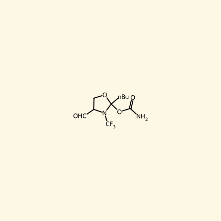 CCCCC1(OC(N)=O)OCC(C=O)N1C(F)(F)F